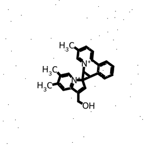 Cc1ccc2[n+](c1)C1C(c3ccccc3-2)C12C=C(CO)c1cc(C)c(C)c[n+]12